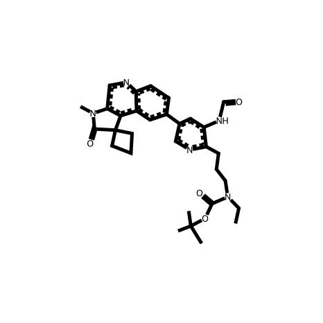 CCN(CCCc1ncc(-c2ccc3ncc4c(c3c2)C2(CCC2)C(=O)N4C)cc1NC=O)C(=O)OC(C)(C)C